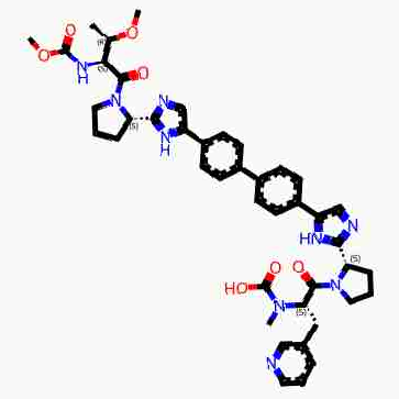 COC(=O)N[C@H](C(=O)N1CCC[C@H]1c1ncc(-c2ccc(-c3ccc(-c4cnc([C@@H]5CCCN5C(=O)[C@H](Cc5cccnc5)N(C)C(=O)O)[nH]4)cc3)cc2)[nH]1)[C@@H](C)OC